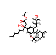 CCCCCCC(O)(CC(=O)OCC)c1cc(CC(C)(C)[Si](C)(C)O)c2c(c1)OC(C)(C)[C@@H]1CC=C(C)C[C@@H]21